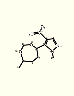 CC1CCC(c2c([N+](=O)[O-])cnn2C)OCO1